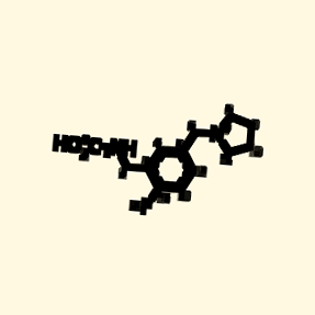 O=C(O)NCc1cc(CN2CCCC2)ccc1F